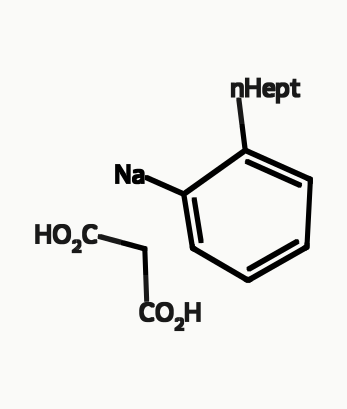 CCCCCCCc1cccc[c]1[Na].O=C(O)CC(=O)O